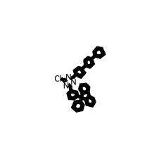 Clc1nc(-c2ccc(-c3ccc(-c4ccccc4)cc3)cc2)nc(-c2cccc(C3(c4ccccc4)c4ccccc4-c4ccccc43)c2)n1